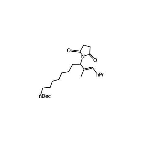 CCCC=C(C)C(CCCCCCCCCCCCCCCCC)N1C(=O)CCC1=O